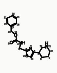 O=C(NCc1nc(C2CCCNC2)cs1)OCc1ccccc1